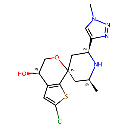 C[C@H]1C[C@@]2(C[C@@H](c3cn(C)nn3)N1)OC[C@H](O)c1cc(Cl)sc12